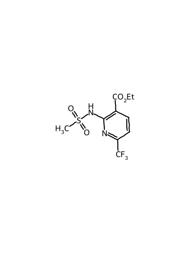 CCOC(=O)c1ccc(C(F)(F)F)nc1NS(C)(=O)=O